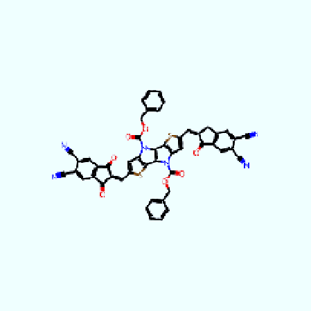 N#Cc1cc2c(cc1C#N)C(=O)/C(=C\c1cc3c(s1)c1c(c4sc(C=C5C(=O)c6cc(C#N)c(C#N)cc6C5=O)cc4n1C(=O)OCc1ccccc1)n3C(=O)OCc1ccccc1)C2